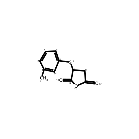 Cc1cccc(SC2CC(=O)OC2=O)c1